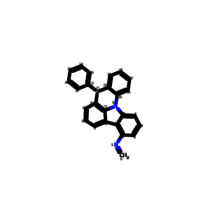 C=Nc1cccc2c1c1cccc3c1n2-c1ccccc1B3c1ccccc1